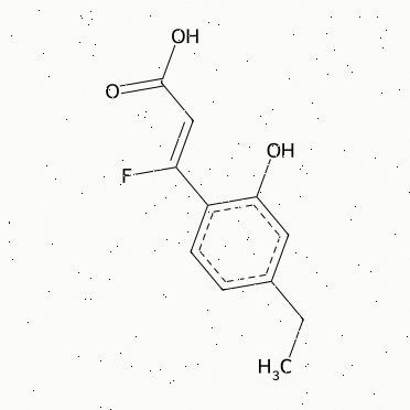 CCc1ccc(C(F)=CC(=O)O)c(O)c1